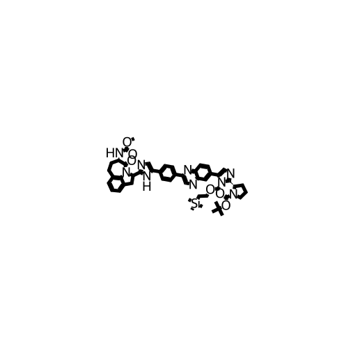 COC(=O)N[C@H]1CCc2cccc3c2N(C1=O)C(c1ncc(-c2ccc(-c4cnc5cc(-c6cnc([C@@H]7CCCN7C(=O)OC(C)(C)C)n6COCC[Si](C)(C)C)ccc5n4)cc2)[nH]1)C3